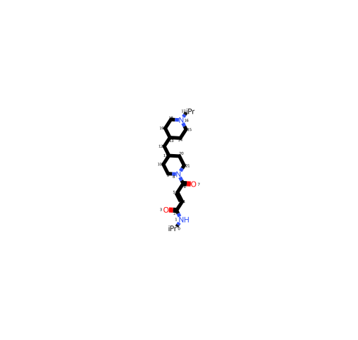 CC(C)NC(=O)/C=C/C(=O)N1CCC(CC2CCN(C(C)C)CC2)CC1